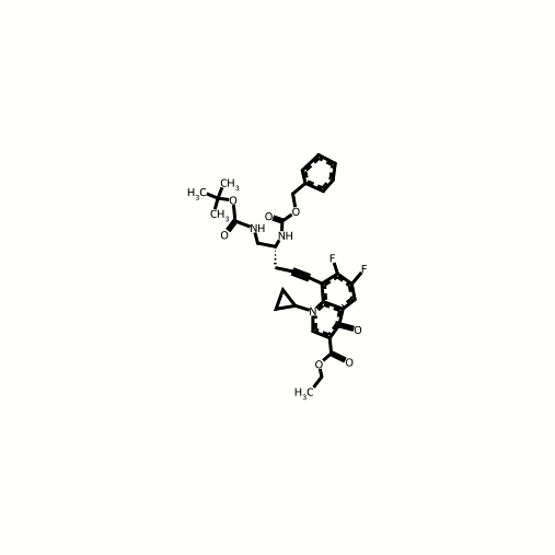 CCOC(=O)c1cn(C2CC2)c2c(C#CC[C@H](CNC(=O)OC(C)(C)C)NC(=O)OCc3ccccc3)c(F)c(F)cc2c1=O